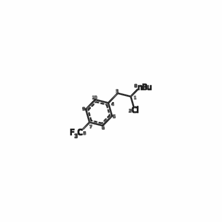 CCCCC(Cl)Cc1ccc(C(F)(F)F)cc1